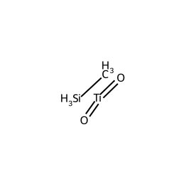 C[SiH3].[O]=[Ti]=[O]